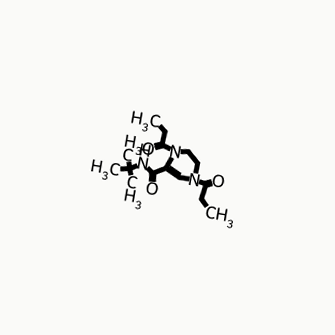 CCC(=O)N1C=C(C(=O)NC(C)(C)C)N(C(=O)CC)CC1